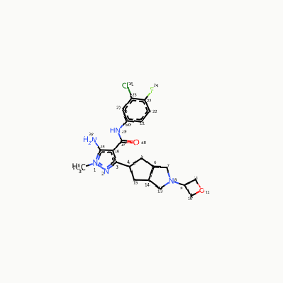 Cn1nc(C2CC3CN(C4COC4)CC3C2)c(C(=O)Nc2ccc(F)c(Cl)c2)c1N